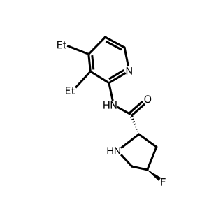 CCc1ccnc(NC(=O)[C@@H]2C[C@@H](F)CN2)c1CC